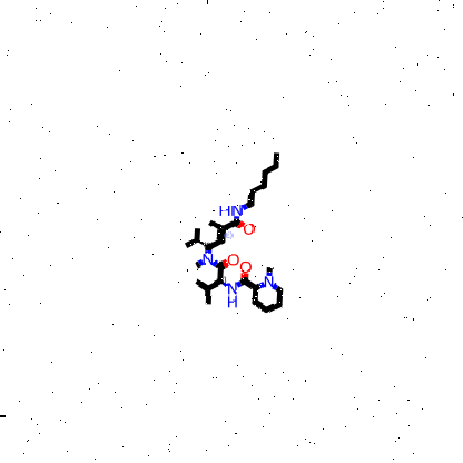 CCCCCCNC(=O)/C(C)=C/[C@H](C(C)C)N(C)C(=O)[C@@H](NC(=O)C1CCCCN1C)C(C)C